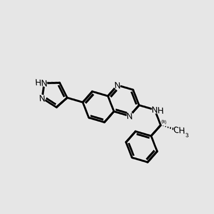 C[C@@H](Nc1cnc2cc(-c3cn[nH]c3)ccc2n1)c1ccccc1